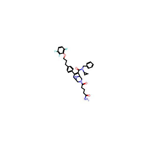 NC(=O)CCCC(=O)N1CC2CC(c3ccc(CCCOc4c(F)ccc(F)c4F)cc3)=C(C(=O)N(Cc3ccccc3)C3CC3)C(C1)N2